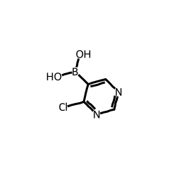 OB(O)c1cncnc1Cl